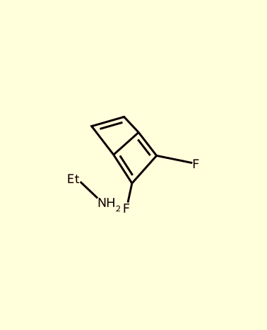 CCN.Fc1c2ccc-2c1F